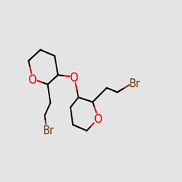 BrCCC1OCCCC1OC1CCCOC1CCBr